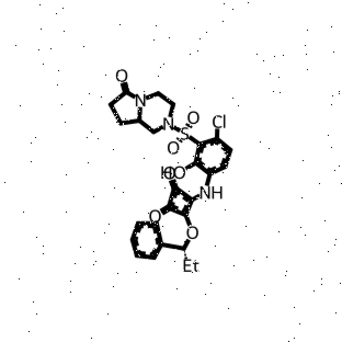 CC[C@@H](Oc1c(Nc2ccc(Cl)c(S(=O)(=O)N3CCN4C(=O)CCC4C3)c2O)c(=O)c1=O)c1ccccc1